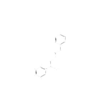 SC(CSCCc1ccccc1)c1ccccc1